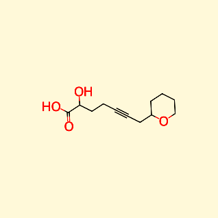 O=C(O)C(O)CCC#CCC1CCCCO1